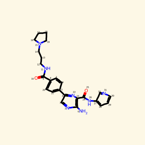 Nc1ncc(-c2ccc(C(=O)NCCCN3CCCC3)cc2)nc1C(=O)Nc1cccnc1